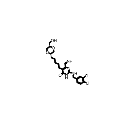 N=Cc1nc(NCc2ccc(Cl)c(Cl)c2)[nH]c(=O)c1CCCCC[C@@H]1CO[C@H](CO)CO1